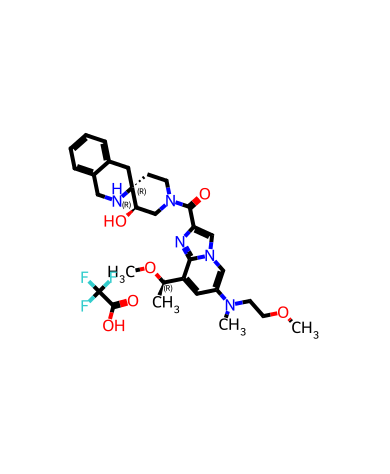 COCCN(C)c1cc([C@@H](C)OC)c2nc(C(=O)N3CC[C@]4(Cc5ccccc5CN4)[C@H](O)C3)cn2c1.O=C(O)C(F)(F)F